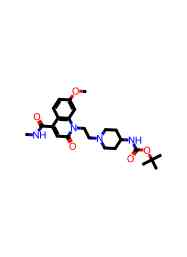 CNC(=O)c1cc(=O)n(CCN2CCC(NC(=O)OC(C)(C)C)CC2)c2cc(OC)ccc12